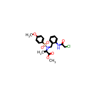 C=C(C(=O)OC)N(Cc1ccccc1NC(=O)CCl)S(=O)(=O)c1ccc(OC)cc1